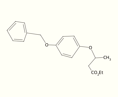 CCOC(=O)CC(C)Oc1ccc(OCc2ccccc2)cc1